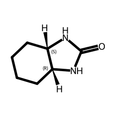 O=C1N[C@H]2CCCC[C@H]2N1